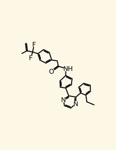 C=C(C)C(F)(F)c1ccc(CC(=O)Nc2ccc(-c3nccnc3-c3ccccc3CC)cc2)cc1